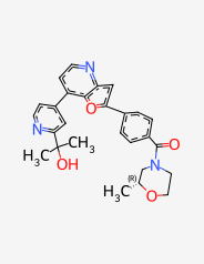 C[C@@H]1CN(C(=O)c2ccc(-c3cc4nccc(-c5ccnc(C(C)(C)O)c5)c4o3)cc2)CCO1